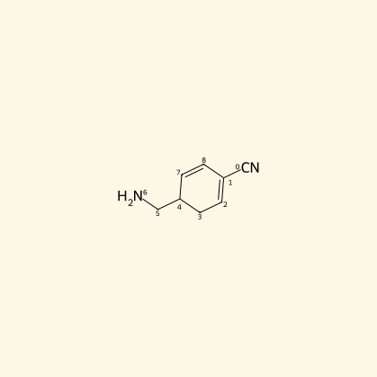 N#CC1=CCC(CN)C=C1